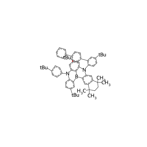 CC(C)(C)c1ccc(N2c3ccc(C(C)(C)C)cc3B3c4cc5c(cc4N(c4ccc(C(C)(C)C)cc4-c4ccc(-c6ccccc6)cc4)c4cc(C(C)(C)C)cc2c43)C(C)(C)CCC5(C)C)cc1